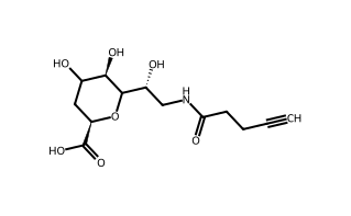 C#CCCC(=O)NC[C@@H](O)C1O[C@@H](C(=O)O)CC(O)[C@H]1O